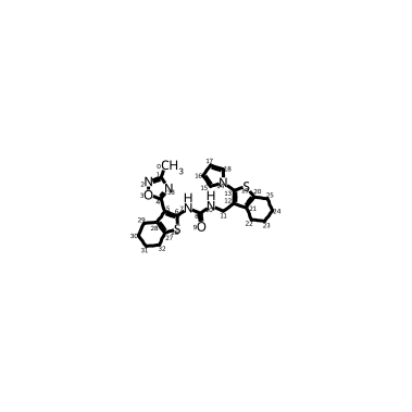 Cc1noc(-c2c(NC(=O)NCc3c(-n4cccc4)sc4c3CCCC4)sc3c2CCCC3)n1